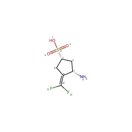 N[C@H]1C[C@@H](S(=O)(=O)O)CC1=C(F)F